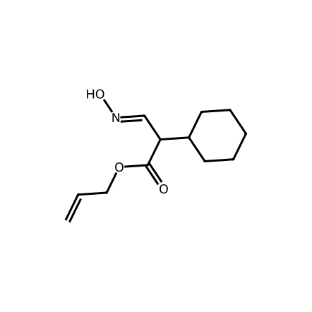 C=CCOC(=O)C(C=NO)C1CCCCC1